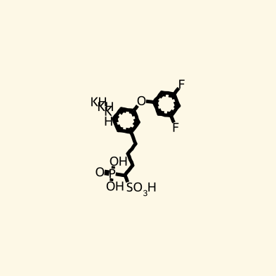 O=P(O)(O)C(CCCc1cccc(Oc2cc(F)cc(F)c2)c1)S(=O)(=O)O.[KH].[KH].[KH]